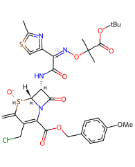 C=C1C(CCl)=C(C(=O)OCc2ccc(OC)cc2)N2C(=O)[C@@H](NC(=O)/C(=N\OC(C)(C)C(=O)OC(C)(C)C)c3csc(C)n3)[C@H]2[S@@+]1[O-]